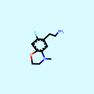 CN1CCOc2cc(F)c(CCN)cc21